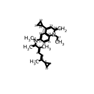 C=C(/C(C)=C/C=C(\C)C1CC1)N(C)c1ccc2c(c1)C(C1CC1)=CC(=C)N2CC